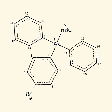 CCCC[As+](c1ccccc1)(c1ccccc1)c1ccccc1.[Br-]